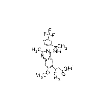 COc1cc2nc(C)nc(N[C@H](C)c3cccc(C(F)(F)F)c3)c2cc1C(C)CC(=O)O